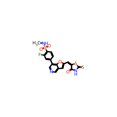 CNS(=O)(=O)c1ccc(-c2cncc3cc(C=C4SC(=S)NC4=O)oc23)cc1F